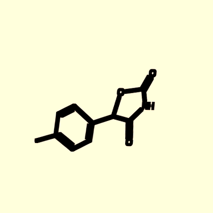 Cc1ccc(C2OC(=O)NC2=O)cc1